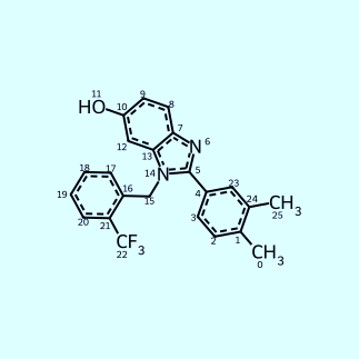 Cc1ccc(-c2nc3ccc(O)cc3n2Cc2ccccc2C(F)(F)F)cc1C